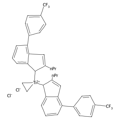 CCCC1=Cc2c(-c3ccc(C(F)(F)F)cc3)cccc2[CH]1[Ti+2]1([CH]2C(CCC)=Cc3c(-c4ccc(C(F)(F)F)cc4)cccc32)[CH2][CH2]1.[Cl-].[Cl-]